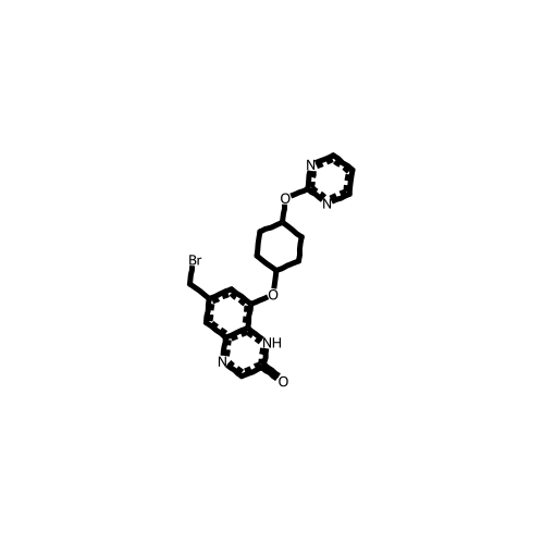 O=c1cnc2cc(CBr)cc(OC3CCC(Oc4ncccn4)CC3)c2[nH]1